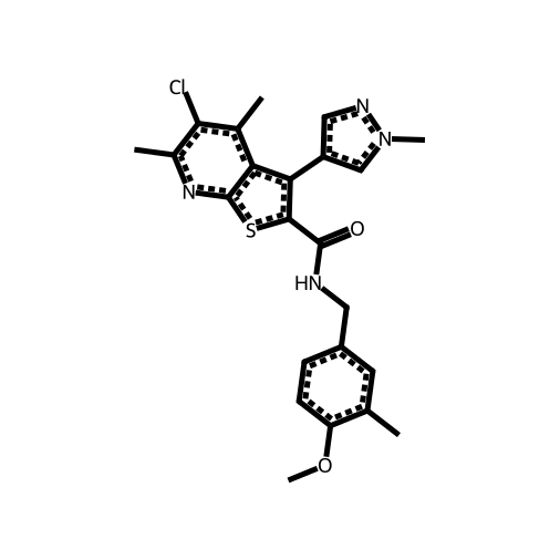 COc1ccc(CNC(=O)c2sc3nc(C)c(Cl)c(C)c3c2-c2cnn(C)c2)cc1C